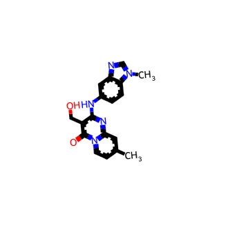 Cc1ccn2c(=O)c(CO)c(Nc3ccc4c(c3)ncn4C)nc2c1